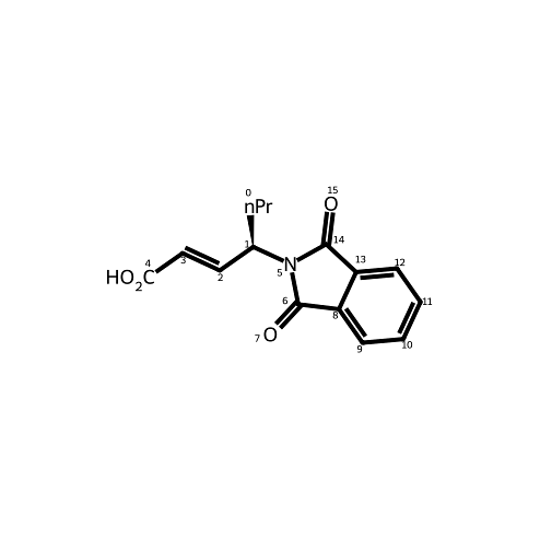 CCC[C@H](/C=C/C(=O)O)N1C(=O)c2ccccc2C1=O